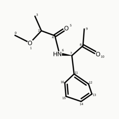 COC(C)C(=O)N[C@@H](C(C)=O)c1ccccc1